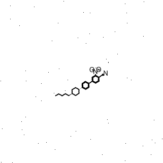 CCCCC[C@H]1CC[C@H](c2ccc(-c3ccc(C#N)c([N+](=O)[O-])c3)cc2)CC1